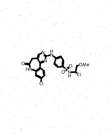 CCC(COC)NS(=O)(=O)c1ccc(Nc2ncc3c(n2)-c2ccc(Cl)cc2NC(=O)C3)cc1